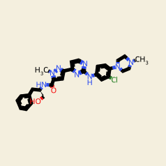 CN1CCN(c2ccc(Nc3nccc(-c4cc(C(=O)N[C@H](CO)Cc5ccccc5)n(C)n4)n3)cc2Cl)CC1